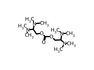 CN(C)C(COC(=O)OCC(N(C)C)N(C)C)N(C)C